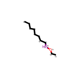 CCCCCCCCPOCC